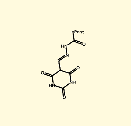 CCCCCC(=O)NN=CC1C(=O)NC(=O)NC1=O